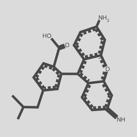 CC(C)Cc1ccc(C(=O)O)c(-c2c3ccc(=N)cc-3oc3cc(N)ccc23)c1